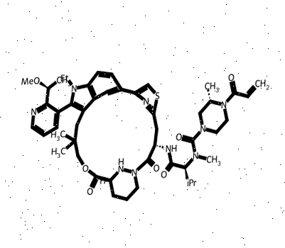 C=CC(=O)N1CCN(C(=O)N(C)[C@H](C(=O)N[C@H]2Cc3nc(cs3)-c3ccc4c(c3)c(c(-c3cccnc3[C@H](C)OC)n4CC)CC(C)(C)COC(=O)[C@@H]3CCCN(N3)C2=O)C(C)C)C[C@@H]1C